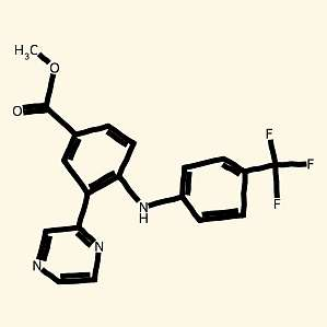 COC(=O)c1ccc(Nc2ccc(C(F)(F)F)cc2)c(-c2cnccn2)c1